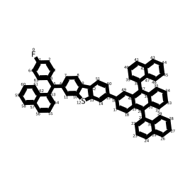 Fc1ccc(C(c2ccc3c(c2)sc2cc(-c4ccc5c(-c6cccc7ccccc67)c6ccccc6c(-c6cccc7ccccc67)c5c4)ccc23)c2cccc3ccccc23)cc1